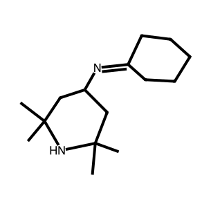 CC1(C)CC(N=C2CCCCC2)CC(C)(C)N1